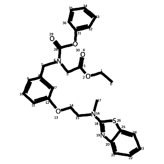 CCOC(=O)CN(Cc1cccc(OCCN(C)c2nc3ccccc3s2)c1)C(=O)Oc1ccccc1